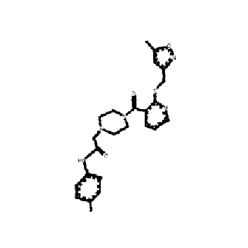 Cc1ccc(NC(=O)CN2CCN(C(=O)c3cccnc3SCc3cc(C)on3)CC2)cc1